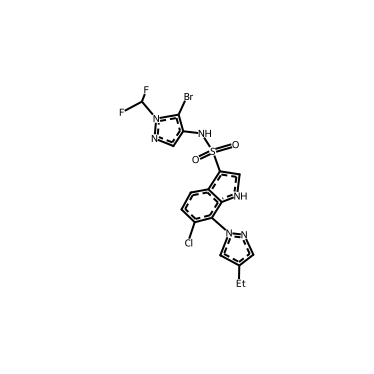 CCc1cnn(-c2c(Cl)ccc3c(S(=O)(=O)Nc4cnn(C(F)F)c4Br)c[nH]c23)c1